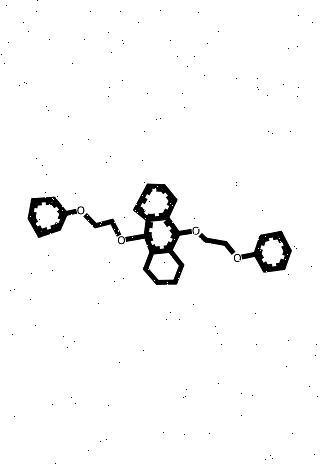 c1ccc(OCCOc2c3c(c(OCCOc4ccccc4)c4ccccc24)CCCC3)cc1